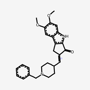 COc1cc2[nH]c3c(c2cc1OC)C/C(=C\C1CCN(Cc2ccccc2)CC1)C3=O